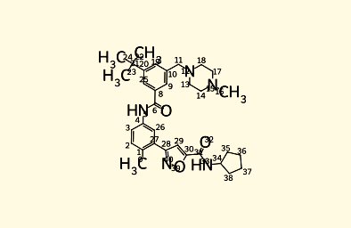 Cc1ccc(NC(=O)c2cc(CN3CCN(C)CC3)cc(C(C)(C)C)c2)cc1-c1cc(C(=O)NC2CCCC2)on1